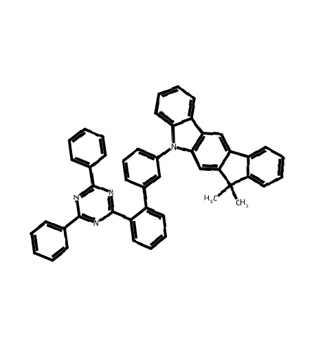 CC1(C)c2ccccc2-c2cc3c4ccccc4n(-c4cccc(-c5ccccc5-c5nc(-c6ccccc6)nc(-c6ccccc6)n5)c4)c3cc21